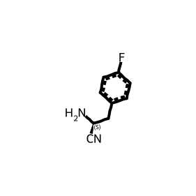 N#C[C@@H](N)Cc1ccc(F)cc1